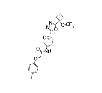 Cc1ccc(OCC(=O)N[C@@H]2CC[C@@H](c3nnc(C4(OC(F)(F)F)CCC4)o3)OC2)cc1